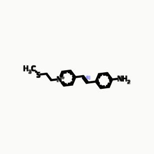 CSCC[n+]1ccc(/C=C/c2ccc(N)cc2)cc1